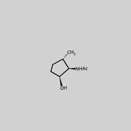 CC(=O)N[C@@H]1[C@@H](C)CC[C@@H]1O